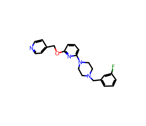 Fc1cccc(CN2CCN(c3cccc(OCc4ccncc4)n3)CC2)c1